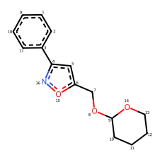 c1ccc(-c2cc(COC3CCCCO3)on2)cc1